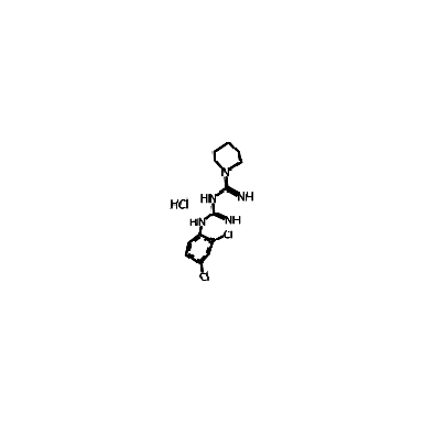 Cl.N=C(NC(=N)N1CCCCC1)Nc1ccc(Cl)cc1Cl